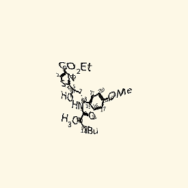 CCOC(=O)c1csc([C@H](O)C[C@@H](NC(=O)[C@@H](C)[C@H](C)CC)c2ccc(OC)cc2)n1